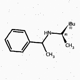 CC[C@H](C)[C@@H](C)NC(C)c1ccccc1